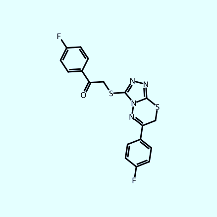 O=C(CSc1nnc2n1N=C(c1ccc(F)cc1)CS2)c1ccc(F)cc1